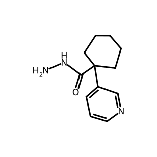 NNC(=O)C1(c2cccnc2)CCCCC1